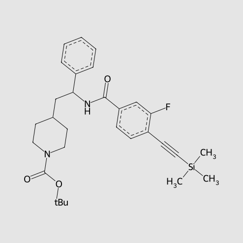 CC(C)(C)OC(=O)N1CCC(CC(NC(=O)c2ccc(C#C[Si](C)(C)C)c(F)c2)c2ccccc2)CC1